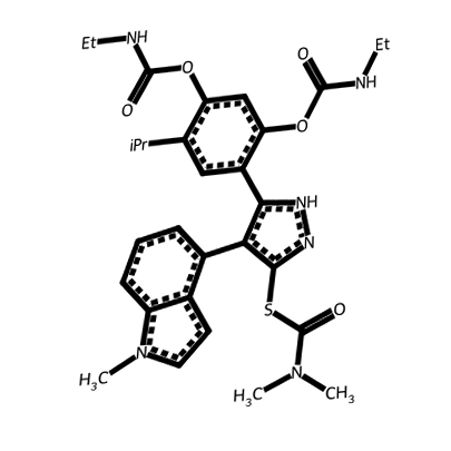 CCNC(=O)Oc1cc(OC(=O)NCC)c(C(C)C)cc1-c1[nH]nc(SC(=O)N(C)C)c1-c1cccc2c1ccn2C